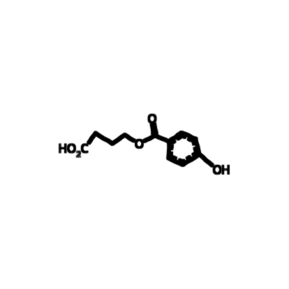 O=C(O)CCCOC(=O)c1ccc(O)cc1